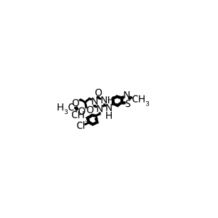 Cc1nc2ccc(NC3NC(=O)N(CC4COC(C)(C)OC4)C(=O)N3Cc3ccc(Cl)cc3)cc2s1